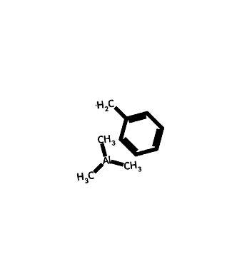 [CH2]c1ccccc1.[CH3][Al]([CH3])[CH3]